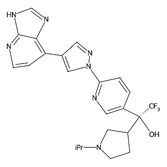 CC(C)N1CCC([C@](O)(c2ccc(-n3cc(-c4ccnc5[nH]cnc45)cn3)nc2)C(F)(F)F)C1